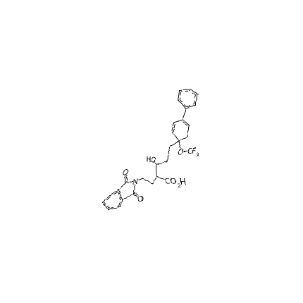 O=C(O)C(CCN1C(=O)c2ccccc2C1=O)C(O)CCC1(OC(F)(F)F)C=CC(c2ccccc2)=CC1